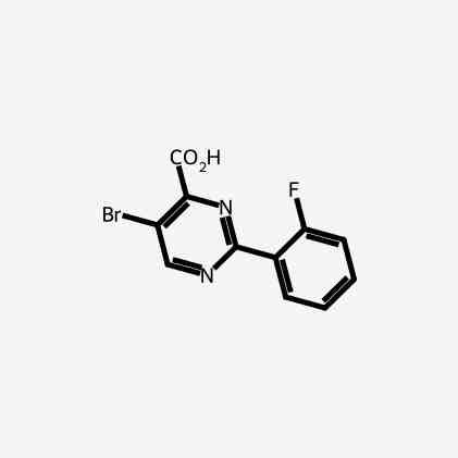 O=C(O)c1nc(-c2ccccc2F)ncc1Br